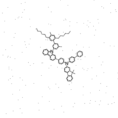 CCCCCCc1cc(-c2cc(C)cc(-n3c4ccccc4c4ccc(-c5ccc(N(c6ccc(-c7ccccc7)cc6)c6ccc7c(c6)C(C)(C)c6ccccc6-7)cc5)cc43)c2)c(CCCCCC)cc1C